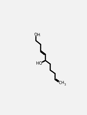 C=CCCCC(O)C=CCCO